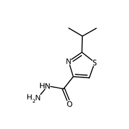 CC(C)c1nc(C(=O)NN)cs1